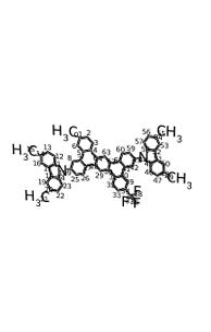 Cc1ccc2c(c1)c1cc(-n3c4ccc(C)cc4c4cc(C)ccc43)ccc1c1cc3c4ccc(C(F)(F)F)cc4c4cc(-n5c6ccc(C)cc6c6cc(C)ccc65)ccc4c3cc21